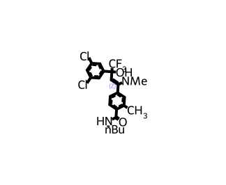 CCCCNC(=O)c1ccc(/C(=C/C(O)(c2cc(Cl)cc(Cl)c2)C(F)(F)F)NC)cc1C